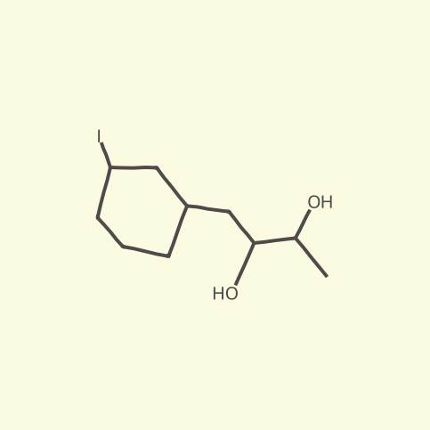 CC(O)C(O)CC1CCCC(I)C1